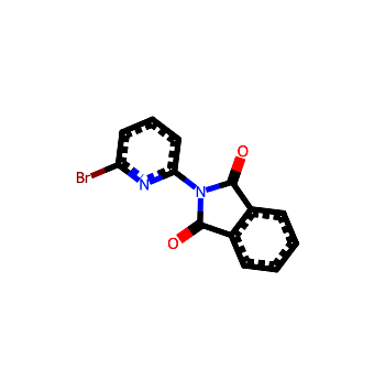 O=C1c2ccccc2C(=O)N1c1cccc(Br)n1